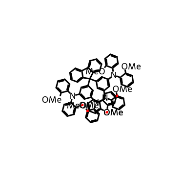 COc1ccccc1N(c1cc(N(c2ccccc2OC)c2ccccc2OC)cc(C2(c3cc(N(c4ccccc4OC)c4ccccc4OC)cc(N(c4ccccc4OC)c4ccccc4OC)c3)c3ccccc3-c3ccccc32)c1)c1ccccc1OC